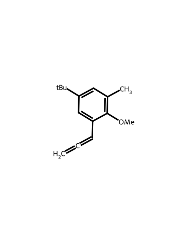 C=C=Cc1cc(C(C)(C)C)cc(C)c1OC